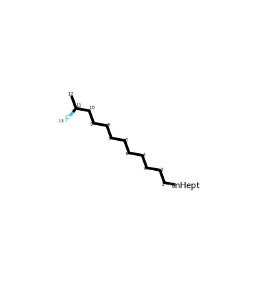 [CH2]CCCCCCCCCCCCCCCCC(C)F